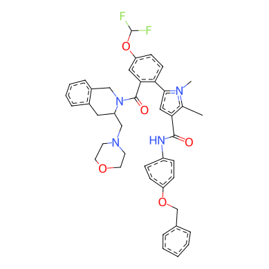 Cc1c(C(=O)Nc2ccc(OCc3ccccc3)cc2)cc(-c2ccc(OC(F)F)cc2C(=O)N2Cc3ccccc3CC2CN2CCOCC2)n1C